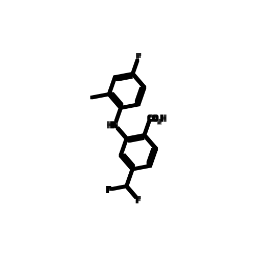 Cc1cc(F)ccc1Nc1cc(C(F)F)ccc1C(=O)O